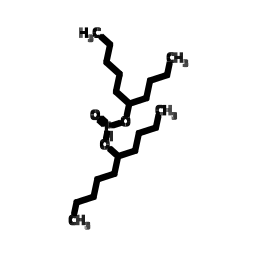 CCCCCC(CCCC)O[PH](=O)OC(CCCC)CCCCC